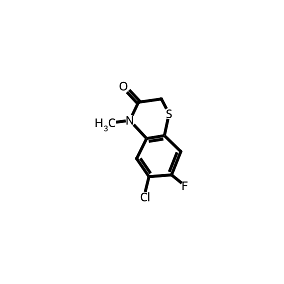 CN1C(=O)CSc2cc(F)c(Cl)cc21